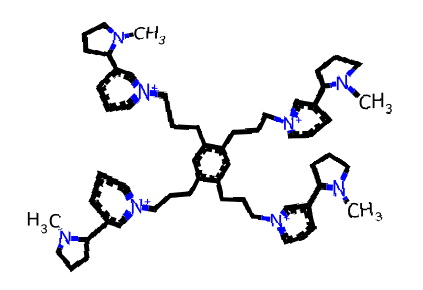 CN1CCCC1c1ccc[n+](CCCc2cc(CCC[n+]3cccc(C4CCCN4C)c3)c(CCC[n+]3cccc(C4CCCN4C)c3)cc2CCC[n+]2cccc(C3CCCN3C)c2)c1